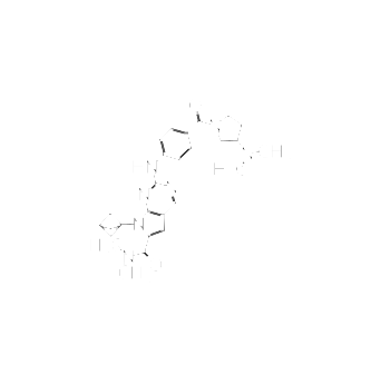 CN(C)C(=O)c1cc2cnc(Nc3ccc(C(=O)N4CCC(N(C)C)C4)cc3)nc2n1C12CC(C1)C2